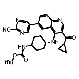 CC(C)(C)OC(=O)N[C@H]1CC[C@H](Nc2c(C(=O)C3CC3)cnc3ccc(-c4cnc(C#N)nc4)cc23)CC1